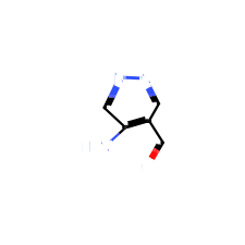 Nc1cnncc1C=O